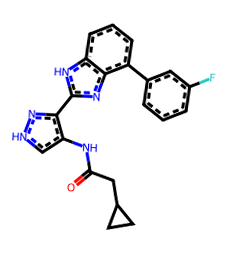 O=C(CC1CC1)Nc1c[nH]nc1-c1nc2c(-c3cccc(F)c3)cccc2[nH]1